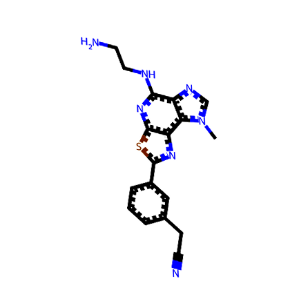 Cn1cnc2c(NCCN)nc3sc(-c4cccc(CC#N)c4)nc3c21